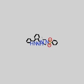 C[C@@H]1CN(S(=O)(=O)c2ccccc2)CCN1C1=c2ccccc2=C(c2ccccc2)NN1